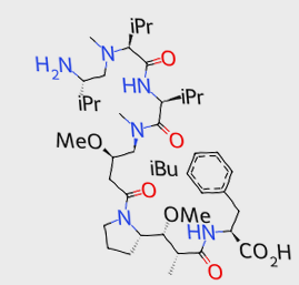 CC[C@H](C)[C@@H]([C@@H](CC(=O)N1CCC[C@H]1[C@H](OC)[C@@H](C)C(=O)N[C@@H](Cc1ccccc1)C(=O)O)OC)N(C)C(=O)[C@@H](NC(=O)[C@H](C(C)C)N(C)C[C@@H](N)C(C)C)C(C)C